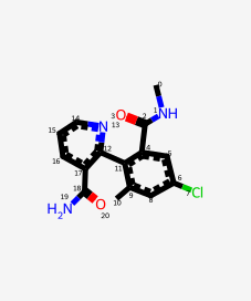 CNC(=O)c1cc(Cl)cc(C)c1-c1ncccc1C(N)=O